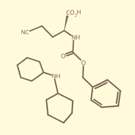 C1CCC(NC2CCCCC2)CC1.N#CCC[C@H](NC(=O)OCc1ccccc1)C(=O)O